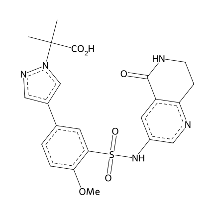 COc1ccc(-c2cnn(C(C)(C)C(=O)O)c2)cc1S(=O)(=O)Nc1cnc2c(c1)C(=O)NCC2